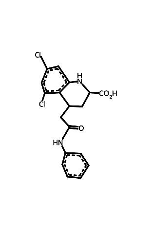 O=C(CC1CC(C(=O)O)Nc2cc(Cl)cc(Cl)c21)Nc1ccccc1